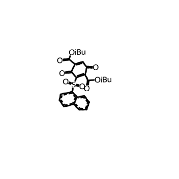 CC(C)COC(=O)C1=CC(=O)C(C(=O)OCC(C)C)=C(S(=O)(=O)c2cccc3ccccc23)C1=O